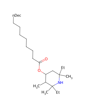 CCCCCCCCCCCCCCCCCC(=O)OC1CC(C)(CC)NC(C)(CC)C1C